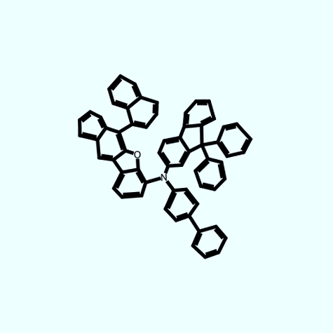 c1ccc(-c2ccc(N(c3ccc4c(c3)C(c3ccccc3)(c3ccccc3)c3ccccc3-4)c3cccc4c3oc3c(-c5cccc6ccccc56)c5ccccc5cc34)cc2)cc1